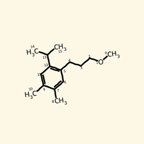 COCCCc1cc(C)c(C)cc1C(C)C